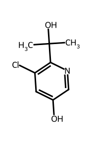 CC(C)(O)c1ncc(O)cc1Cl